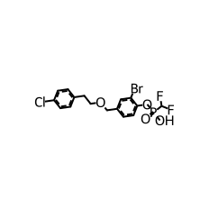 O=P(O)(Oc1ccc(COCCc2ccc(Cl)cc2)cc1Br)C(F)F